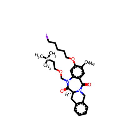 COc1cc2c(cc1OCCCCCI)N(COCC[Si](C)(C)C)C(=O)[C@@H]1Cc3ccccc3CN1C2=O